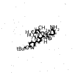 C[C@@H]1CN(c2nc(-c3ccc(OCC(C)(C)C)nc3)ccc2C(=O)NS(=O)(=O)c2cccc(N)n2)C(C)(C)C1